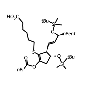 CCCCC[C@@H](/C=C/[C@@H]1C(SCCCCCC(=O)O)=C(OC(=O)CCC)C[C@H]1O[Si](C)(C)C(C)(C)C)O[Si](C)(C)C(C)(C)C